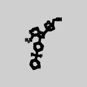 Nc1nccn2c(C3=C4CC(CO)(C4)OC3)nc(-c3ccc(C(F)(F)c4cccnc4)cc3)c12